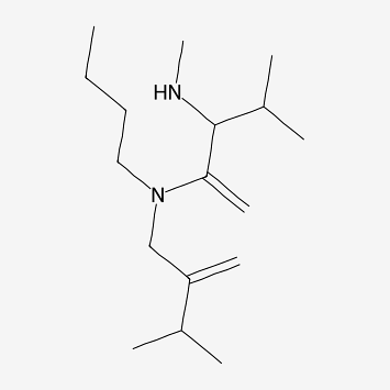 C=C(CN(CCCC)C(=C)C(NC)C(C)C)C(C)C